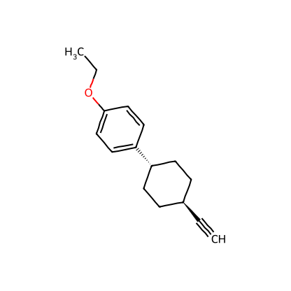 C#C[C@H]1CC[C@H](c2ccc(OCC)cc2)CC1